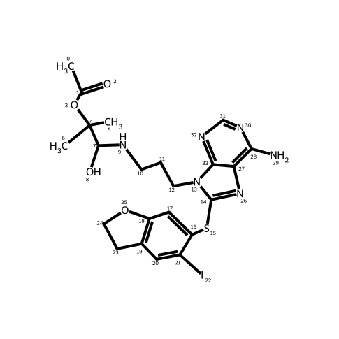 CC(=O)OC(C)(C)C(O)NCCCn1c(Sc2cc3c(cc2I)CCO3)nc2c(N)ncnc21